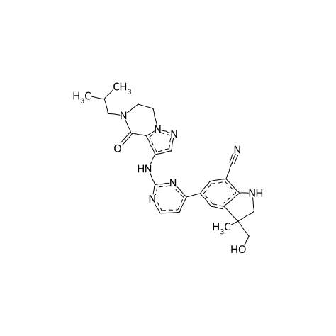 CC(C)CN1CCn2ncc(Nc3nccc(-c4cc(C#N)c5c(c4)C(C)(CO)CN5)n3)c2C1=O